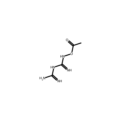 CC(=O)ONC(=N)NC(=N)N